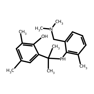 Cc1cc(C)c(O)c(C(C)(C)Pc2c(C)cccc2CN(C)C)c1